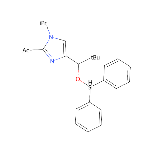 CC(=O)c1nc(C(O[SiH](c2ccccc2)c2ccccc2)C(C)(C)C)cn1C(C)C